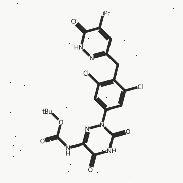 CC(C)c1cc(Cc2c(Cl)cc(-n3nc(NC(=O)OC(C)(C)C)c(=O)[nH]c3=O)cc2Cl)n[nH]c1=O